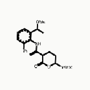 C=C(Nc1c(C(C)C)cccc1C(C)OC)C1CCC(CCCCCCC)OC1=O